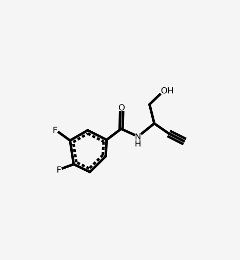 C#CC(CO)NC(=O)c1ccc(F)c(F)c1